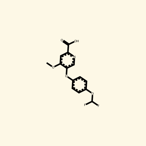 COc1cc(C(=O)O)ncc1Oc1ccc(OC(F)F)cc1